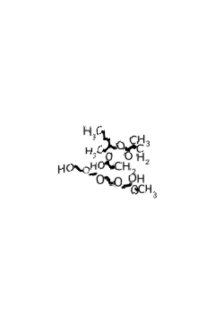 C=C(C)C(=O)OCC(CC)CCCC.C=CC(=O)O.COC(O)COCCOCCOCCO